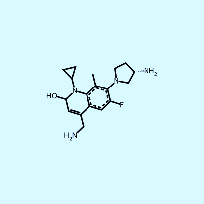 Cc1c(N2CC[C@H](N)C2)c(F)cc2c1N(C1CC1)C(O)C=C2CN